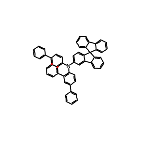 c1ccc(-c2ccc(N(c3ccc4c(c3)-c3ccccc3C43c4ccccc4-c4ccccc43)c3ccc(-c4ccccc4)cc3-c3ccccc3)cc2)cc1